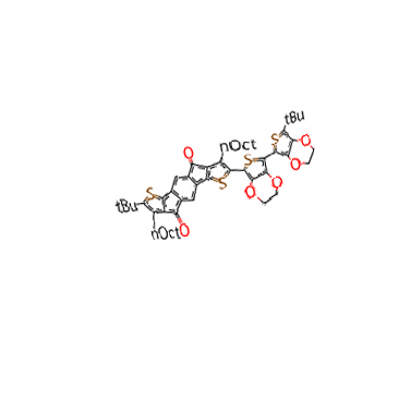 CCCCCCCCc1c(-c2sc(-c3sc(C(C)(C)C)c4c3OCCO4)c3c2OCCO3)sc2c1c(=O)c1cc3c(cc12)c(=O)c1c(CCCCCCCC)c(C(C)(C)C)sc13